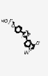 CC(C)n1cc(Cl)c2cc(-c3nc(-c4ccc(OCC(=O)O)cc4)no3)ccc21